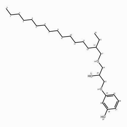 CCCCCCCCCCCCCCC(CC)COCC(O)COc1cccc(O)c1